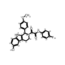 COc1ccc(C2c3[nH]c4ccc(Cl)cc4c3CCN2C(=O)C(=O)Oc2ccc(F)cc2)cc1